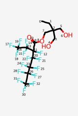 CCC(CO)(CO)COC(=O)C(F)(C(F)(F)C(F)(F)F)C(F)(F)C(F)(F)C(F)(F)C(F)(F)F